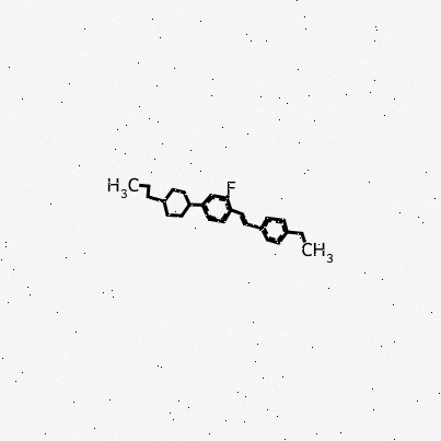 CCCC1CCC(c2ccc(/C=C/c3ccc(CC)cc3)c(F)c2)CC1